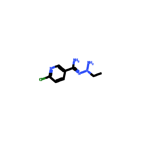 CCN(N)/N=C(\N)c1ccc(Cl)nc1